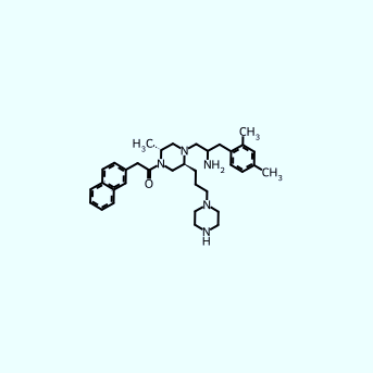 Cc1ccc(CC(N)CN2C[C@@H](C)N(C(=O)Cc3ccc4ccccc4c3)C[C@@H]2CCCN2CCNCC2)c(C)c1